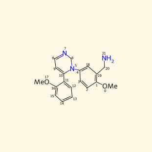 COc1ccc(N2CN=CC=C2c2ccccc2OC)cc1CN